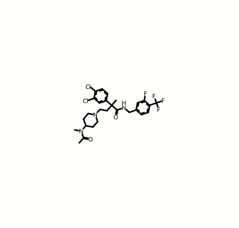 CC(=O)N(C)C1CCN(CCC(C)(C(=O)NCc2ccc(C(F)(F)F)c(F)c2)c2ccc(Cl)c(Cl)c2)CC1